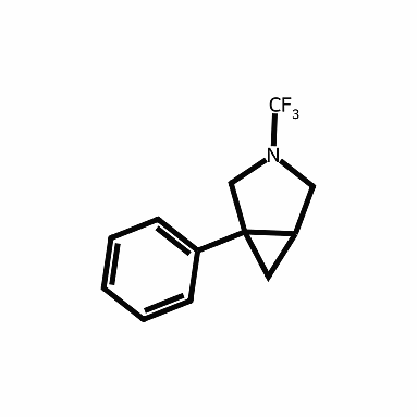 FC(F)(F)N1CC2CC2(c2ccccc2)C1